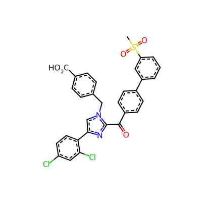 CS(=O)(=O)c1cccc(-c2ccc(C(=O)c3nc(-c4ccc(Cl)cc4Cl)cn3Cc3ccc(C(=O)O)cc3)cc2)c1